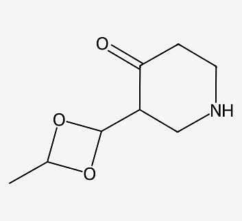 CC1OC(C2CNCCC2=O)O1